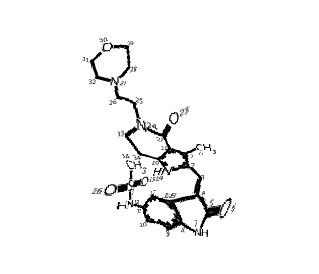 Cc1c(/C=C2/C(=O)Nc3ccc(NS(C)(=O)=O)cc32)[nH]c2c1C(=O)N(CCN1CCOCC1)CC2